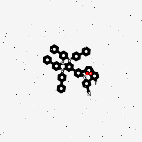 N#Cc1ccc(-n2c3ccccc3c3cc(-c4cc5c6c(c4)N(c4ccc(-c7ccccc7)cc4)c4ccc(-c7ccccc7)cc4B6c4cc(-c6ccccc6)ccc4N5c4ccc(-c5ccccc5)cc4)ccc32)c(-c2c(F)cccc2F)c1